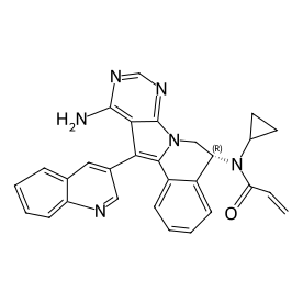 C=CC(=O)N(C1CC1)[C@H]1Cn2c(c(-c3cnc4ccccc4c3)c3c(N)ncnc32)-c2ccccc21